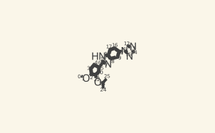 COc1ccc(-c2nc3cc(-n4cncn4)ccc3[nH]2)cc1OC(C)C